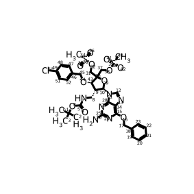 CC(C)(C)OC(=O)NC[C@H]1[C@H](n2cnc3c(OCc4ccccc4)nc(N)nc32)OC(COS(C)(=O)=O)(COS(C)(=O)=O)[C@H]1OCc1ccc(Cl)cc1